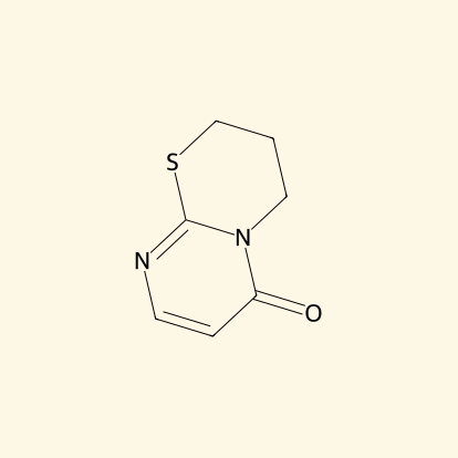 O=c1ccnc2n1CCCS2